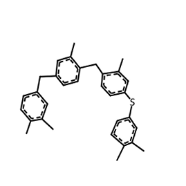 Cc1ccc(Cc2ccc(Cc3ccc(Sc4ccc(C)c(C)c4)cc3C)c(C)c2)cc1C